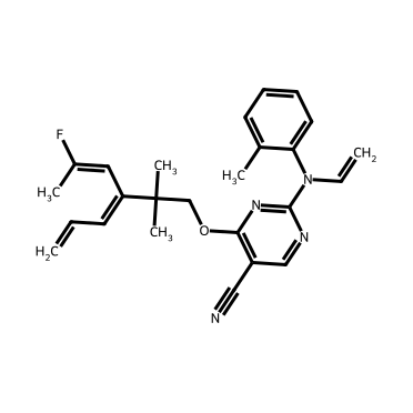 C=C/C=C(\C=C(/C)F)C(C)(C)COc1nc(N(C=C)c2ccccc2C)ncc1C#N